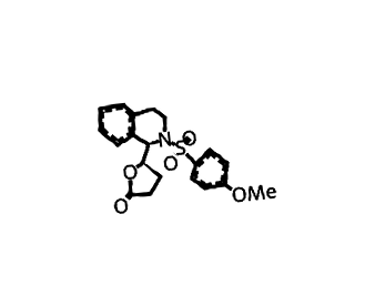 COc1ccc(S(=O)(=O)N2CCc3ccccc3[C@@H]2[C@H]2CCC(=O)O2)cc1